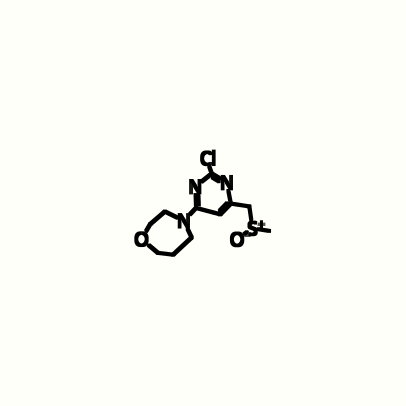 C[S+]([O-])Cc1cc(N2CCCOCC2)nc(Cl)n1